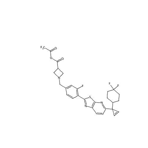 O=C(OC(=O)C(F)(F)F)C1CN(Cc2ccc(-c3nc4ccc(C5(C6CCC(F)(F)CC6)C=C5)nc4s3)c(F)c2)C1